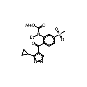 CCN(C(=O)OC)c1cc(S(C)(=O)=O)ccc1C(=O)c1cnoc1C1CC1